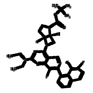 CCN(CC)c1nc(N2C[C@@H]3[C@H]2CCN3C(=O)OC(C)(C)C)c2cnc(-c3cccc4ccc(F)c(Cl)c34)c(F)c2n1